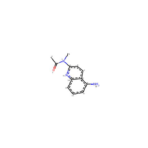 CC(=O)N(C)c1ccc2c(N)cccc2n1